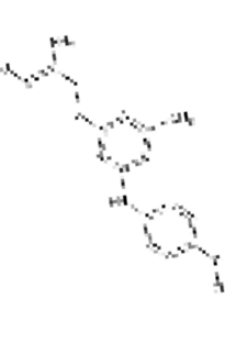 COc1ccc(Nc2cc(C)nc(SCC(N)=NO)n2)cc1